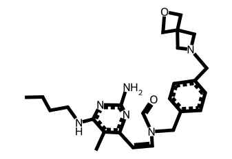 CCCCNc1nc(N)nc(/C=C\N(C=O)Cc2ccc(CN3CC4(COC4)C3)cc2)c1C